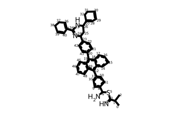 CC(C)C(=N)SC(N)c1ccc(-c2c3ccccc3c(-c3ccc(C4CC(C5=CC=CCC5)NC(C5=CCCC=C5)=N4)cc3)c3ccccc23)cc1